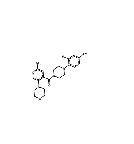 N#Cc1ccc(N2CCN(C(=O)c3cc([N+](=O)[O-])ccc3N3CCOCC3)CC2)c(F)c1